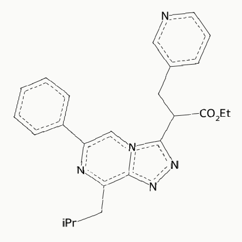 CCOC(=O)C(Cc1cccnc1)c1nnc2c(CC(C)C)nc(-c3ccccc3)cn12